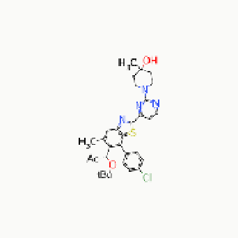 CC(=O)[C@@H](OC(C)(C)C)c1c(C)cc2nc(-c3ccnc(N4CCC(C)(O)CC4)n3)sc2c1-c1ccc(Cl)cc1